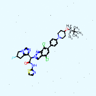 CC(C)(C)[Si](C)(C)OC1CCN(c2ccc(-c3cc(Cl)c4cn([C@@H](C(=O)Nc5nccs5)c5ncn6c5C[C@@H](F)C6)nc4c3Cl)cc2)CC1